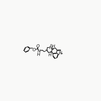 CN1C[C@H](CCNC(=O)OCc2ccccc2)C[C@@H]2c3cccc4c3c(cn4C)C[C@H]21